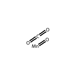 O=C=O.[O]=[Mn]